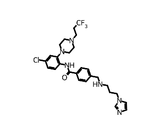 O=C(Nc1ccc(Cl)cc1N1CCN(CCC(F)(F)F)CC1)c1ccc(CNCCCn2ccnc2)cc1